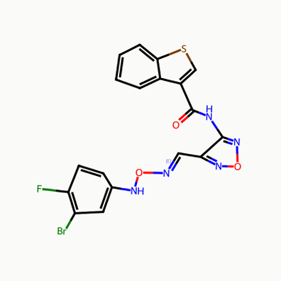 O=C(Nc1nonc1/C=N/ONc1ccc(F)c(Br)c1)c1csc2ccccc12